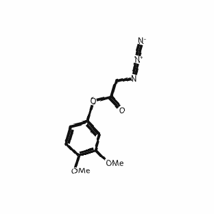 COc1ccc(OC(=O)CN=[N+]=[N-])cc1OC